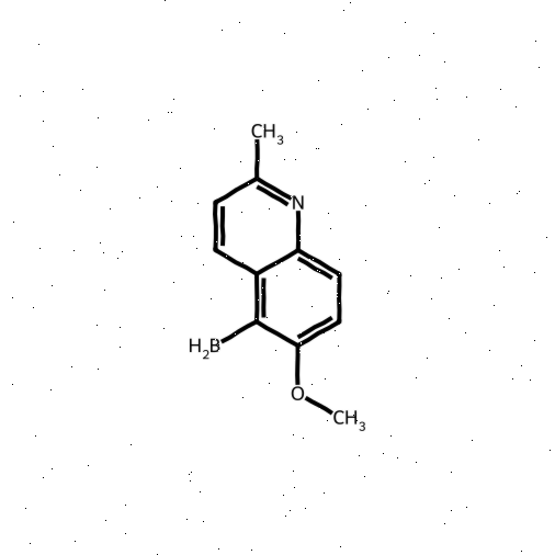 Bc1c(OC)ccc2nc(C)ccc12